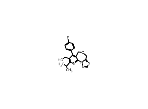 CC(C)c1nc2c(c(-c3ccc(F)cc3)c1CO)COCc1ncnn1-2